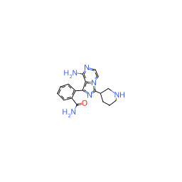 NC(=O)c1ccccc1-c1nc(C2CCCNC2)n2ccnc(N)c12